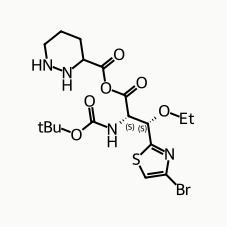 CCO[C@H](c1nc(Br)cs1)[C@H](NC(=O)OC(C)(C)C)C(=O)OC(=O)C1CCCNN1